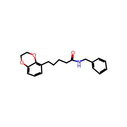 O=C(CCCCc1cccc2c1OCCO2)NCc1ccccc1